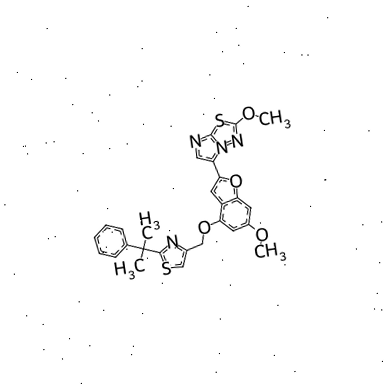 COc1cc(OCc2csc(C(C)(C)c3ccccc3)n2)c2cc(-c3cnc4sc(OC)nn34)oc2c1